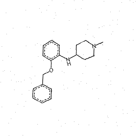 CN1CCC(Nc2ccccc2OCc2ccccc2)CC1